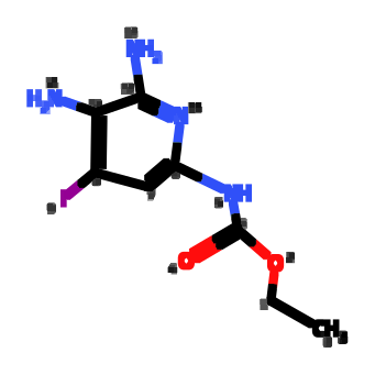 CCOC(=O)Nc1cc(I)c(N)c(N)n1